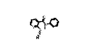 [N-]=[N+]=Nc1ncccc1C(=O)Nc1ccccc1